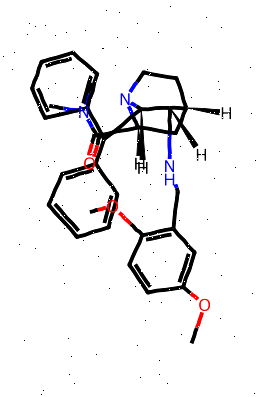 COc1ccc(OC)c(CN[C@H]2[C@@H]3CCN([C@@H](C(=O)N(C)C)C3)[C@H]2C(c2ccccc2)c2ccccc2)c1